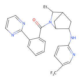 CCC1C2CC(Nc3ccc(C(F)(F)F)cn3)C(C2)N1C(=O)c1ccccc1-c1ncccn1